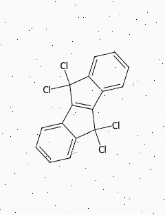 ClC1(Cl)C2=C(c3ccccc31)C(Cl)(Cl)c1ccccc12